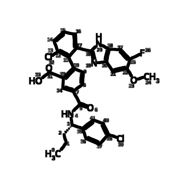 CCC[C@H](NC(=O)c1ccc(-c2c(Cl)cccc2-c2nc3cc(OC)c(F)cc3[nH]2)c(C(=O)O)c1)c1ccc(Cl)cc1